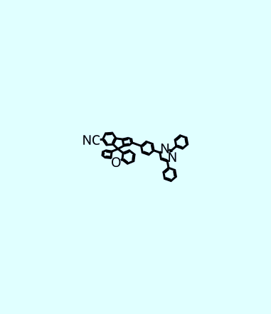 N#Cc1ccc2c(c1)C1(c3ccccc3Oc3ccccc31)c1cc(-c3ccc(-c4cc(-c5ccccc5)nc(-c5ccccc5)n4)cc3)ccc1-2